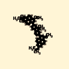 COc1cc(-c2ccc3c(c2)C(C)(C)c2cc(-c4cc(OC)c5ccc6cc(C(C)(C)C)cc7ccc4c5c67)ccc2-3)c2ccc3cc(CC(C)C)cc4ccc1c2c43